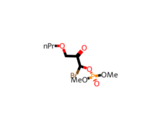 CCCOCC(=O)C(Br)OP(=O)(OC)OC